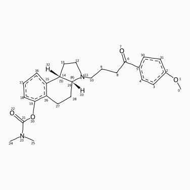 COc1ccc(C(=O)CCCN2CC[C@H]3c4cccc(OC(=O)N(C)C)c4CC[C@H]32)cc1